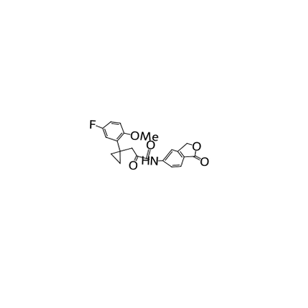 COc1ccc(F)cc1C1(CC(=O)C(=O)Nc2ccc3c(c2)COC3=O)CC1